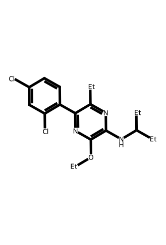 CCOc1nc(-c2ccc(Cl)cc2Cl)c(CC)nc1NC(CC)CC